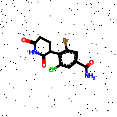 NC(=O)c1cc(Cl)c(C2CCC(=O)NC2=O)c(Br)c1